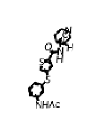 CC(=O)Nc1cccc(Sc2csc(C(=O)N[C@H]3CN4CCC3CC4)c2)c1